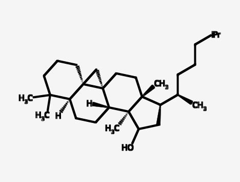 CC(C)CCC[C@@H](C)[C@H]1CC(O)[C@@]2(C)[C@@H]3CC[C@H]4C(C)(C)CCC[C@@]45C[C@]35CC[C@]12C